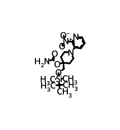 CC(C)(C)[Si](C)(C)OCC1(OC(N)=O)CCN(c2cccnc2[N+](=O)[O-])CC1